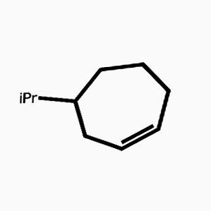 CC(C)C1CC=CCCC1